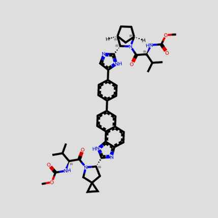 COC(=O)N[C@H](C(=O)N1CC2(CC2)C[C@H]1c1nc2ccc3cc(-c4ccc(-c5cnc([C@@H]6[C@H]7CC[C@H](C7)N6C(=O)[C@@H](NC(=O)OC)C(C)C)[nH]5)cc4)ccc3c2[nH]1)C(C)C